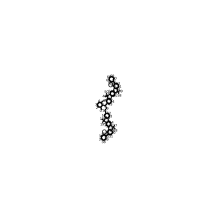 Cc1cccc(C)c1C(CCc1ccc2c(c1)C(C)(C)c1cc3c(cc1-2)C(C)(C)c1ccc2c(oc4ccccc42)c1-3)c1ccc2c(c1)C(C)(C)c1cc3c(cc1-2)C(C)(C)c1ccc2c(oc4ccccc42)c1-3